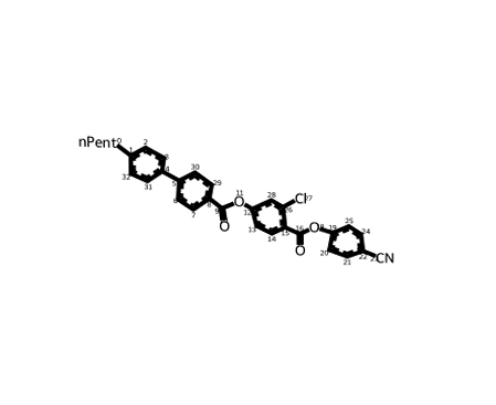 CCCCCc1ccc(-c2ccc(C(=O)Oc3ccc(C(=O)Oc4ccc(C#N)cc4)c(Cl)c3)cc2)cc1